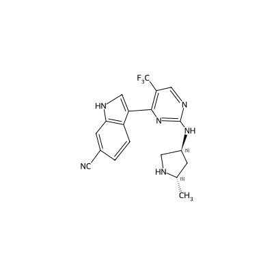 C[C@H]1C[C@H](Nc2ncc(C(F)(F)F)c(-c3c[nH]c4cc(C#N)ccc34)n2)CN1